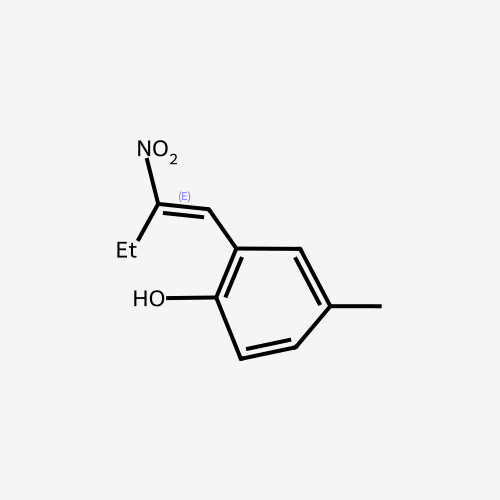 CC/C(=C\c1cc(C)ccc1O)[N+](=O)[O-]